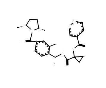 C[C@@H]1CC[C@H](C)N1C(=O)c1ccc([C@@H](C)NC(=O)C2(NC(=O)c3ccnnc3)CC2)c(F)c1